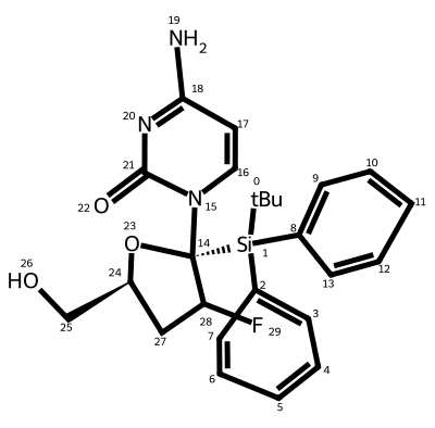 CC(C)(C)[Si](c1ccccc1)(c1ccccc1)[C@@]1(n2ccc(N)nc2=O)O[C@H](CO)CC1F